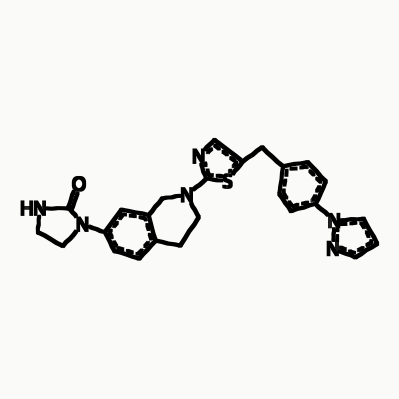 O=C1NCCN1c1ccc2c(c1)CN(c1ncc(Cc3ccc(-n4cccn4)cc3)s1)CC2